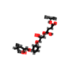 CCC(CC)OC(=O)CCC(=O)OCC(O)COc1cccc(OCC(O)CC(C)(CC)CC)c1